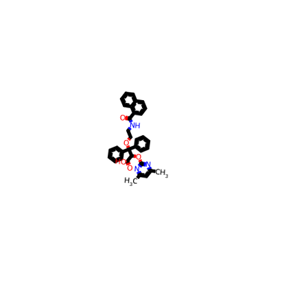 Cc1cc(C)nc(OC(C(=O)O)C(OCCNC(=O)c2cccc3ccccc23)(c2ccccc2)c2ccccc2)n1